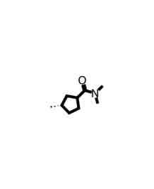 C[C@H]1CCC(C(=O)N(C)C)C1